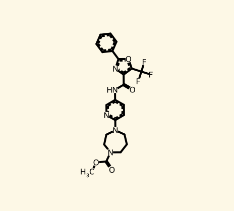 COC(=O)N1CCCN(c2ccc(NC(=O)c3nc(-c4ccccc4)oc3C(F)(F)F)cn2)CC1